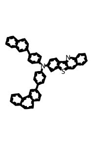 c1ccc2cc(-c3ccc(N(c4ccc(-c5ccc6ccc7ccccc7c6c5)cc4)c4ccc5c(c4)sc4cc6ccccc6nc45)cc3)ccc2c1